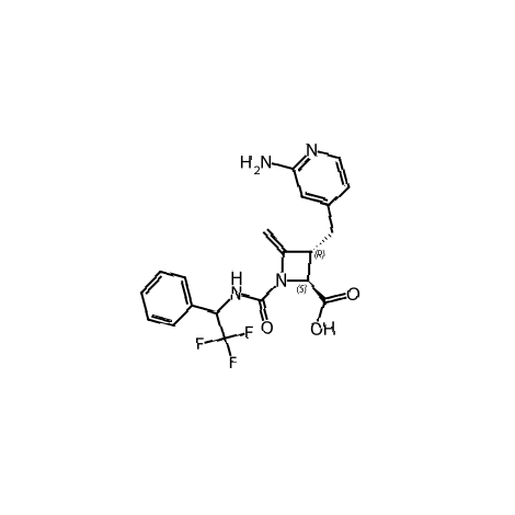 C=C1[C@H](Cc2ccnc(N)c2)[C@@H](C(=O)O)N1C(=O)NC(c1ccccc1)C(F)(F)F